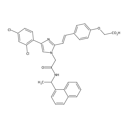 CC(NC(=O)Cn1cc(-c2ccc(Cl)cc2Cl)nc1/C=C/c1ccc(OCC(=O)O)cc1)c1cccc2ccccc12